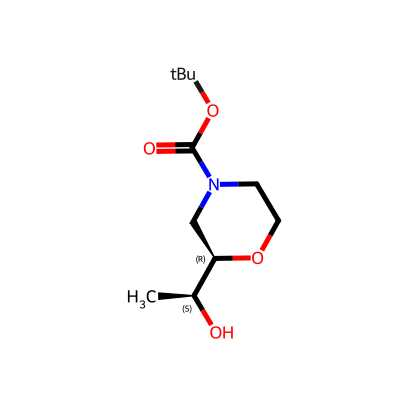 C[C@H](O)[C@H]1CN(C(=O)OC(C)(C)C)CCO1